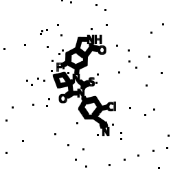 N#Cc1ccc(N2C(=O)C3(CCC3)N(c3cc4c(cc3F)CNC4=O)C2=S)cc1Cl